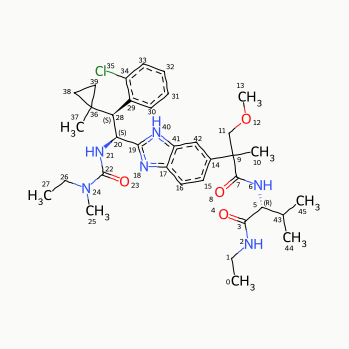 CCNC(=O)[C@H](NC(=O)C(C)(COC)c1ccc2nc([C@@H](NC(=O)N(C)CC)[C@H](c3ccccc3Cl)C3(C)CC3)[nH]c2c1)C(C)C